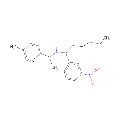 CCCCCC(NC(C)c1ccc(C)cc1)c1cccc([N+](=O)[O-])c1